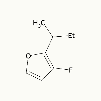 CCC(C)c1occc1F